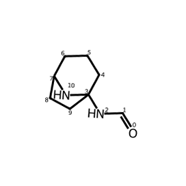 O=CNC12CCCC(CC1)N2